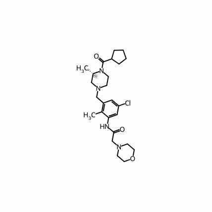 Cc1c(CN2CCN(C(=O)C3CCCC3)[C@@H](C)C2)cc(Cl)cc1NC(=O)CN1CCOCC1